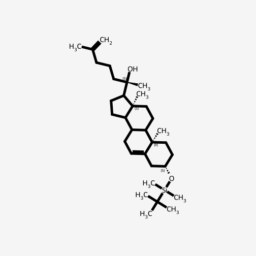 C=C(C)CCC[C@](C)(O)C1CCC2C3CC=C4C[C@@H](O[Si](C)(C)C(C)(C)C)CC[C@]4(C)C3CC[C@@]21C